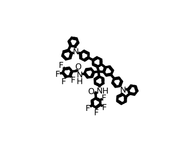 O=C(Nc1ccc(C2(c3ccc(NC(=O)c4cc(F)c(F)c(F)c4F)cc3)c3cc(-c4ccc(-n5c6ccccc6c6ccccc65)cc4)ccc3-c3ccc(-c4ccc(-n5c6ccccc6c6ccccc65)cc4)cc32)cc1)c1cc(F)c(F)c(F)c1F